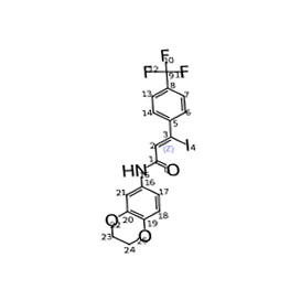 O=C(/C=C(\I)c1ccc(C(F)(F)F)cc1)Nc1ccc2c(c1)OCCO2